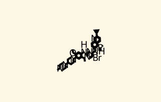 CCc1cc(N2CCC(N3CCN(C)CC3)CC2)c(OC)cc1Nc1ncc(Br)c(Nc2ccc3nc(C4CC4)ccc3c2P(C)C)n1